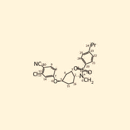 C=[N+]([C@H]1CC[C@H](Oc2ccc(C#N)c(Cl)c2)CC1)S(=O)(=O)c1ccc(C(C)C)cc1